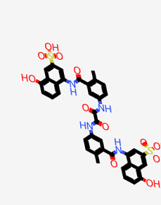 Cc1ccc(NC(=O)C(=O)Nc2ccc(C)c(C(=O)Nc3cc(S(=O)(=O)O)cc4c(O)cccc34)c2)cc1C(=O)Nc1cc(S(=O)(=O)O)cc2c(O)cccc12